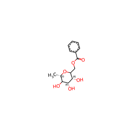 C[C@@H]1OC(COC(=O)c2ccccc2)[C@H](O)[C@H](O)C1O